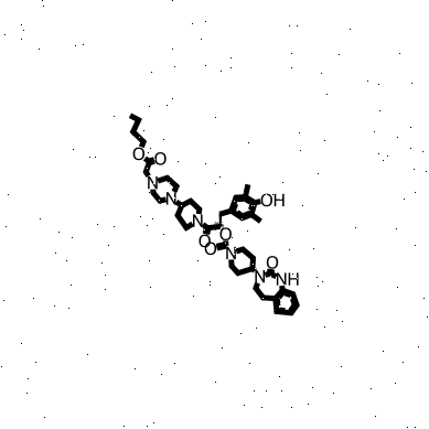 CCCCOC(=O)CN1CCN(C2CCN(C(=O)[C@@H](Cc3cc(C)c(O)c(C)c3)OC(=O)N3CCC(N4CCc5ccccc5NC4=O)CC3)CC2)CC1